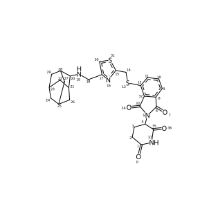 O=C1CCC(N2C(=O)c3cccc(SCc4nc(CNC5C6CC7CC(C6)CC5C7)cs4)c3C2=O)C(=O)N1